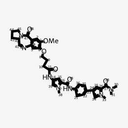 COc1cc2c(cc1OCCCC(=O)Nc1cc(C(=O)Nc3ccc(-c4cc(C(=O)N(C)C)n(C)c4)cc3)n(C)c1)N=CC1CCCN1C2=O